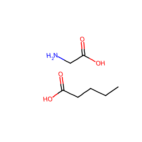 CCCCC(=O)O.NCC(=O)O